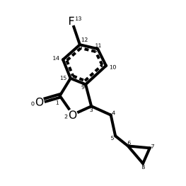 O=C1OC(CCC2CC2)c2ccc(F)cc21